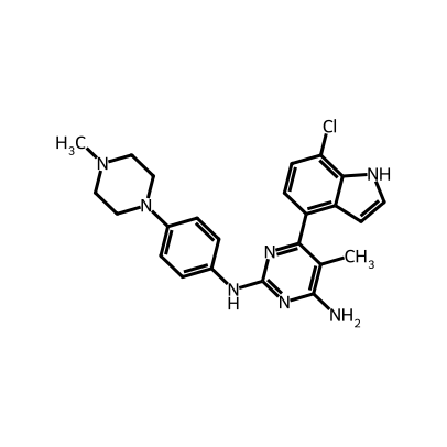 Cc1c(N)nc(Nc2ccc(N3CCN(C)CC3)cc2)nc1-c1ccc(Cl)c2[nH]ccc12